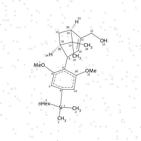 CCCCCC[Si](C)(C)c1cc(OC)c(C2C=C(CO)[C@@H]3C[C@H]2C3(C)C)c(OC)c1